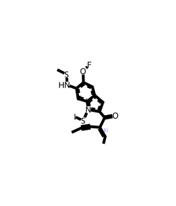 CC#C/C(=C\C)C(=O)c1cc2cc(OF)c(NSC)cc2n1SI